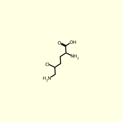 NCC(Cl)CCC(N)C(=O)O